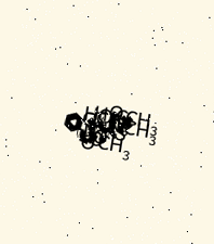 CO[C@@H](C1CSC(C(C)(C)C)N1C(=O)O)[C@@H](C)C(=O)N1C(=O)OC[C@H]1c1ccccc1